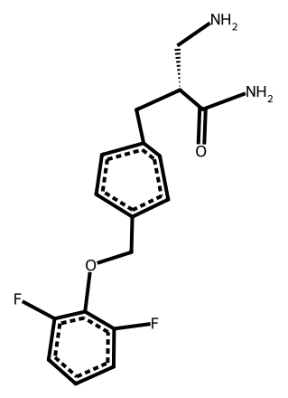 NC[C@@H](Cc1ccc(COc2c(F)cccc2F)cc1)C(N)=O